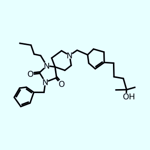 CCCCN1C(=O)N(Cc2ccccc2)C(=O)C12CCN(CC1CC=C(CCCC(C)(C)O)CC1)CC2